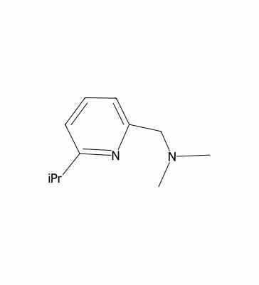 CC(C)c1cccc(CN(C)C)n1